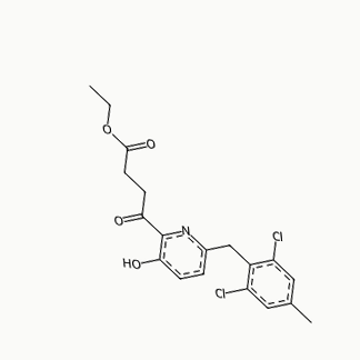 CCOC(=O)CCC(=O)c1nc(Cc2c(Cl)cc(C)cc2Cl)ccc1O